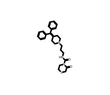 O=C1CSCCN1C(=O)NCCCN1CCC(=C(c2ccccc2)c2ccccc2)CC1